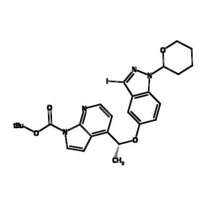 C[C@@H](Oc1ccc2c(c1)c(I)nn2C1CCCCO1)c1ccnc2c1ccn2C(=O)OC(C)(C)C